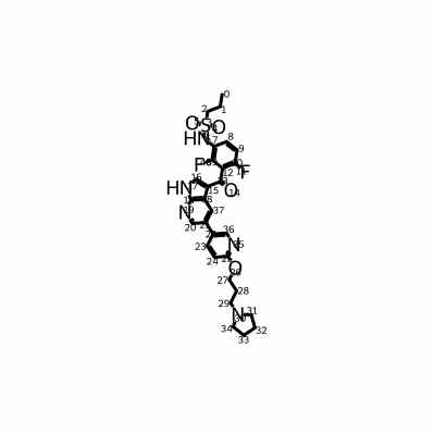 CCCS(=O)(=O)Nc1ccc(F)c(C(=O)c2c[nH]c3ncc(-c4ccc(OCCCN5CCCC5)nc4)cc23)c1F